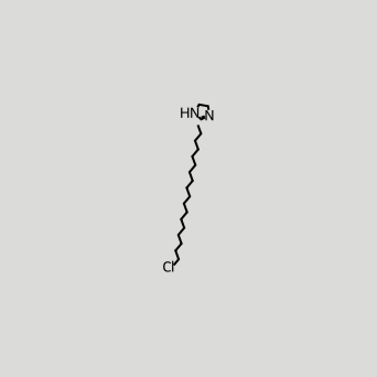 C1=NCCN1.CCCCCCCCCCCCCCCCCCCl